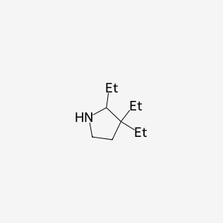 CCC1NCCC1(CC)CC